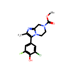 CC(C)(C)OC(=O)N1CCn2c(nc(C(F)(F)F)c2-c2cc(F)c(O)c(Cl)c2)C1